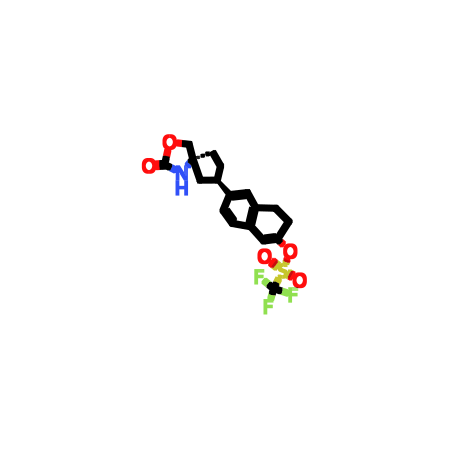 O=C1N[C@@]2(CC[C@@H](c3ccc4c(c3)CCC(OS(=O)(=O)C(F)(F)F)=C4)C2)CO1